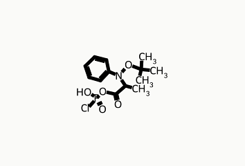 CC(C(=O)OP(=O)(O)Cl)N(OC(C)(C)C)c1ccccc1